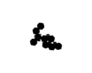 c1ccc(-c2cccc(-c3nc(-c4ccccc4)nc(-c4ccc5c(c4)oc4cccc(-n6c7ccccc7c7ccc8c9ccccc9oc8c76)c45)n3)c2)cc1